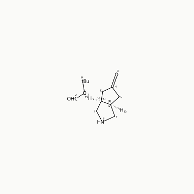 CC(C)(C)OC=O.O=C1C[C@H]2CNC[C@H]2C1